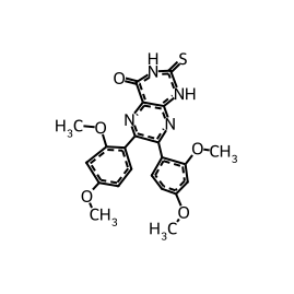 COc1ccc(-c2nc3[nH]c(=S)[nH]c(=O)c3nc2-c2ccc(OC)cc2OC)c(OC)c1